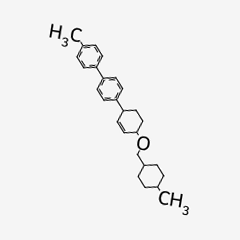 Cc1ccc(-c2ccc(C3C=CC(OCC4CCC(C)CC4)CC3)cc2)cc1